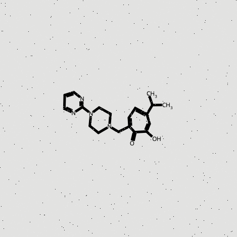 CC(C)c1ccc(CN2CCN(c3ncccn3)CC2)c(=O)c(O)c1